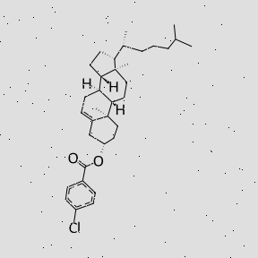 CC(C)CCC[C@@H](C)[C@H]1CC[C@H]2[C@@H]3CC=C4C[C@@H](OC(=O)c5ccc(Cl)cc5)CC[C@]4(C)[C@H]3CC[C@]12C